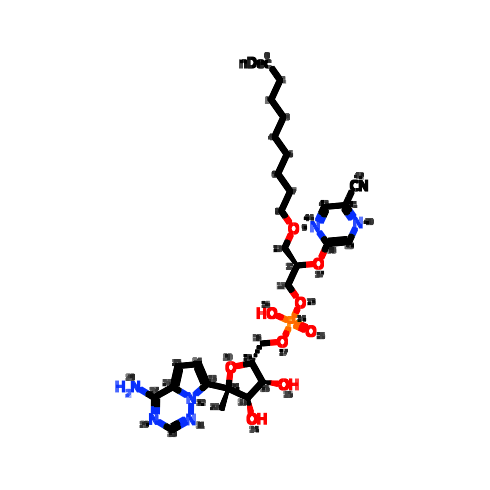 CCCCCCCCCCCCCCCCCCOC[C@H](COP(=O)(O)OC[C@H]1O[C@@](C)(c2ccc3c(N)ncnn23)[C@H](O)[C@@H]1O)Oc1cnc(C#N)cn1